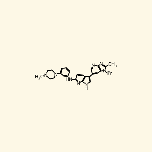 Cc1nc2ncc(-c3c[nH]c4nc(Nc5cccc(N6CCN(C)CC6)c5)ccc34)cc2n1C(C)C